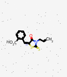 C=CCN1C(=O)/C(=C\c2ccccc2C(=O)O)SC1=S